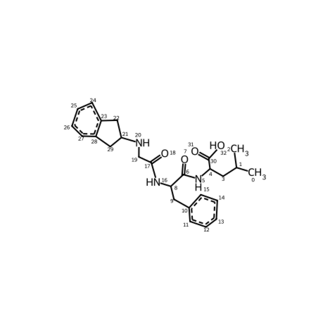 CC(C)CC(NC(=O)C(Cc1ccccc1)NC(=O)CNC1Cc2ccccc2C1)C(=O)O